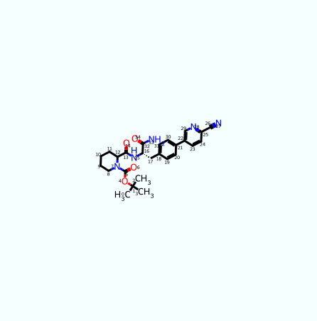 CC(C)(C)OC(=O)N1CCCCC1C(=O)N[C@@H](Cc1ccc(-c2ccc(C#N)nc2)cc1)C(N)=O